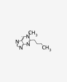 CCCCc1nc2ncnc-2[c]n1C